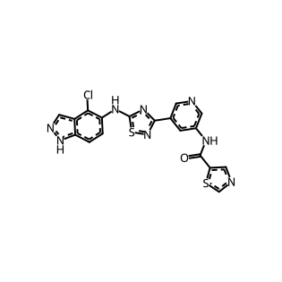 O=C(Nc1cncc(-c2nsc(Nc3ccc4[nH]ncc4c3Cl)n2)c1)c1cncs1